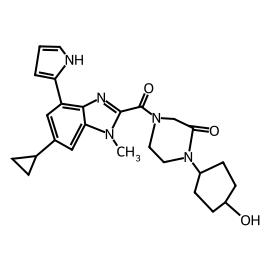 Cn1c(C(=O)N2CCN(C3CCC(O)CC3)C(=O)C2)nc2c(-c3ccc[nH]3)cc(C3CC3)cc21